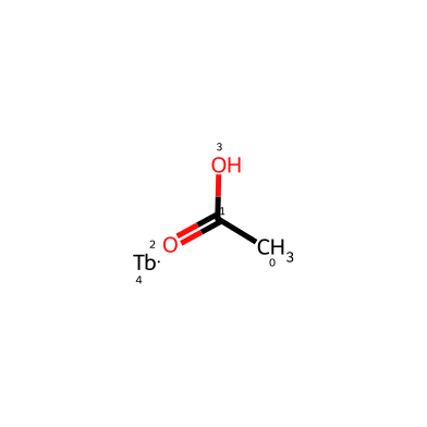 CC(=O)O.[Tb]